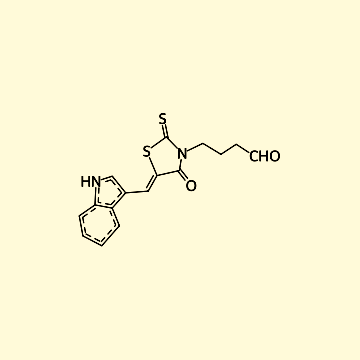 O=CCCCN1C(=O)/C(=C/c2c[nH]c3ccccc23)SC1=S